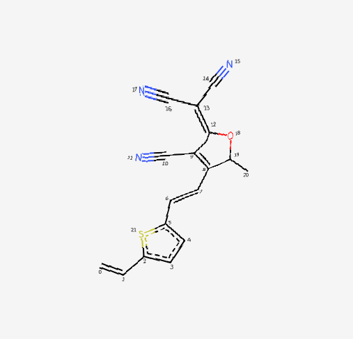 C=Cc1ccc(/C=C/C2=C(C#N)C(=C(C#N)C#N)OC2C)s1